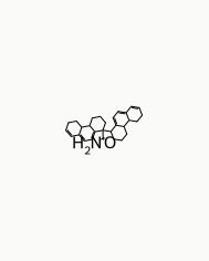 NC(=O)C1(C2CCCC3C2=CC=C2C=CCCC23)CCCC2C1=CC=C1C=CCCC12